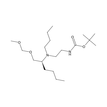 CCCC[C@@H](COCOC)N(CCCC)CCNC(=O)OC(C)(C)C